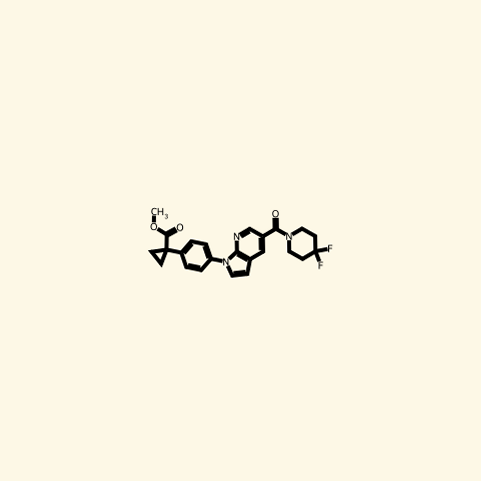 COC(=O)C1(c2ccc(-n3ccc4cc(C(=O)N5CCC(F)(F)CC5)cnc43)cc2)CC1